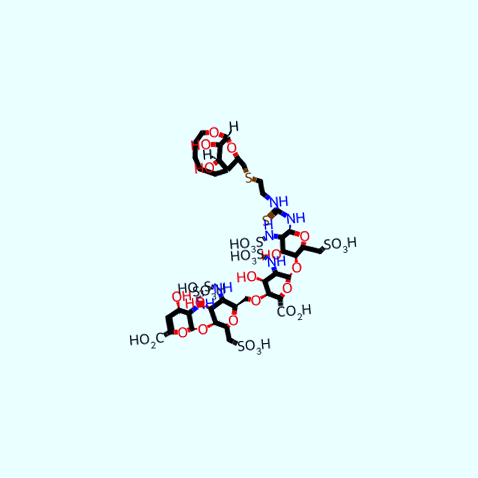 O=C(O)C1=C[C@@H](O)C(NS(=O)(=O)O)[C@H](O[C@@H]2C(CS(=O)(=O)O)O[C@H](CO[C@@H]3C(C(=O)O)O[C@@H](O[C@@H]4C(CS(=O)(=O)O)O[C@@H](NC(=S)NCCSCC5O[C@@H]6OCCCCCC5[C@@H](O)C6O)C(NS(=O)(=O)O)[C@@H]4O)C(NS(=O)(=O)O)[C@@H]3O)C(NS(=O)(=O)O)[C@@H]2O)O1